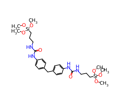 CO[Si](CCCNC(=O)Nc1ccc(Cc2ccc(NC(=O)NCCC[Si](OC)(OC)OC)cc2)cc1)(OC)OC